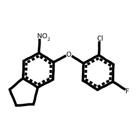 O=[N+]([O-])c1cc2c(cc1Oc1ccc(F)cc1Cl)CCC2